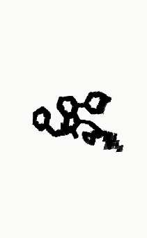 Cc1c(CC(=O)NN)c2c(-c3ccccc3)cccc2n1Cc1ccccc1